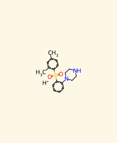 Cc1ccc(S(=O)(=O)c2ccccc2N2CCNCC2)c(C)c1.[H+]